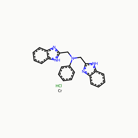 Cl.[Cr].c1ccc(N(Cc2nc3ccccc3[nH]2)Cc2nc3ccccc3[nH]2)cc1